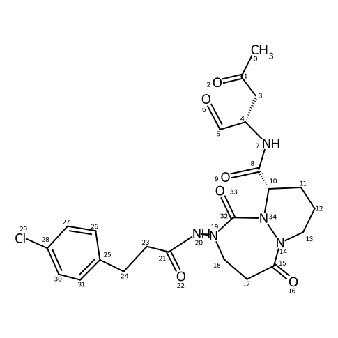 CC(=O)C[C@@H](C=O)NC(=O)[C@@H]1CCCN2C(=O)CCN(NC(=O)CCc3ccc(Cl)cc3)C(=O)N12